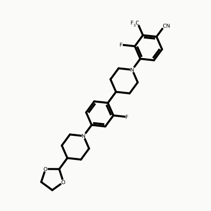 N#Cc1ccc(N2CCC(c3ccc(N4CCC(C5OCCO5)CC4)cc3F)CC2)c(F)c1C(F)(F)F